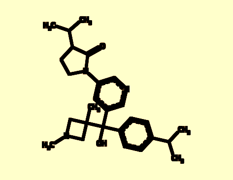 CC(C)c1ccc(C(O)(c2cncc(N3CCC(C(C)C)C3=O)c2)C2(C)CN(C)C2)cc1